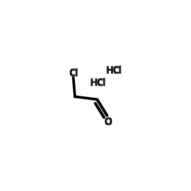 Cl.Cl.O=CCCl